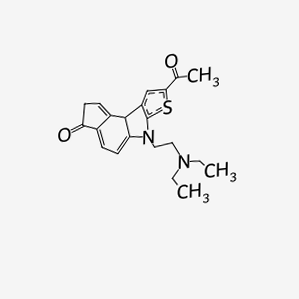 CCN(CC)CCN1C2=CC=C3C(=O)CC=C3C2c2cc(C(C)=O)sc21